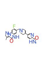 CNC(=O)c1ccc(C2=CCN(Cc3cc4[nH]c(=O)c5c(C)cnn5c4cc3F)CC2)cn1